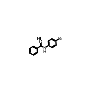 I.O=C(Nc1ccc(Br)cc1)c1ccccc1